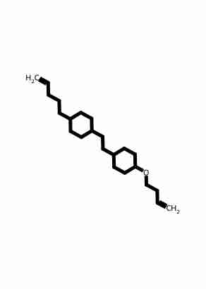 C=CCCCC1CCC(CCC2CCC(OCCC=C)CC2)CC1